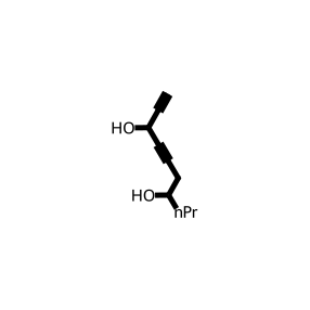 C#CC(O)C#CCC(O)CCC